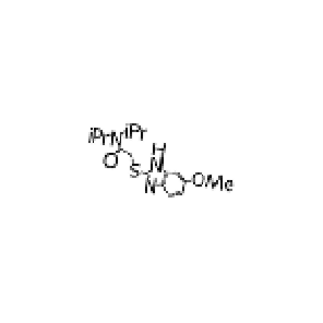 COc1ccc2nc(SCC(=O)N(C(C)C)C(C)C)[nH]c2c1